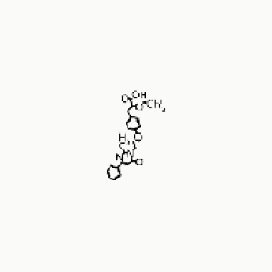 CCOC(Cc1ccc(OCCn2c(C)nc(-c3ccccc3)cc2=O)cc1)C(=O)O